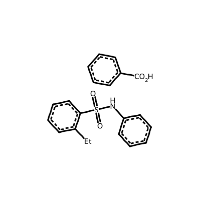 CCc1ccccc1S(=O)(=O)Nc1ccccc1.O=C(O)c1ccccc1